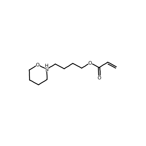 C=CC(=O)OCCCC[SiH]1CCCCO1